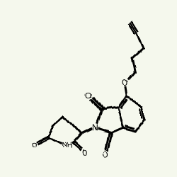 C#CCCCOc1cccc2c1C(=O)N(C1CCC(=O)NC1=O)C2=O